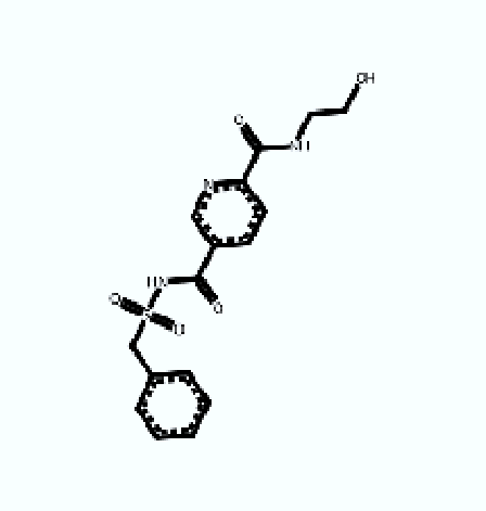 O=C(NS(=O)(=O)Cc1ccccc1)c1ccc(C(=O)NCCO)nc1